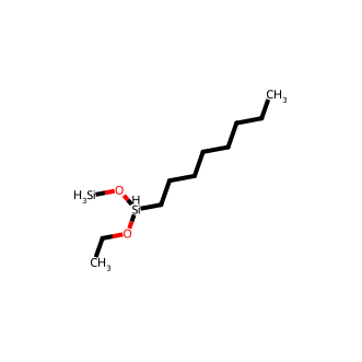 CCCCCCCC[SiH](O[SiH3])OCC